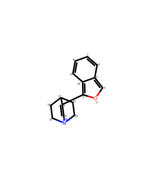 C1=C(c2occ3ccccc23)C2CCN1CC2